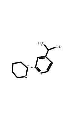 CC(C)c1ccnc([C@H]2CCCCO2)c1